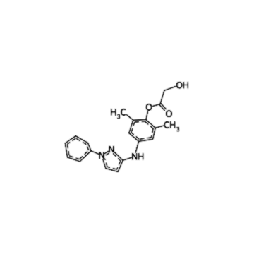 Cc1cc(Nc2ccn(-c3ccccc3)n2)cc(C)c1OC(=O)CO